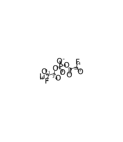 O=C(F)C(=O)OP(=O)([O-])OC(=O)C(=O)F.[Li+]